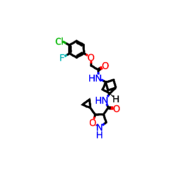 O=C(COc1ccc(Cl)c(F)c1)NC12CC(C1)[C@@H](NC(=O)C1CNOC1C1CC1)C2